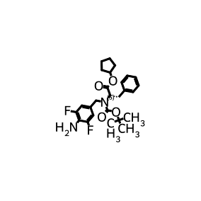 CC(C)(C)OC(=O)N(Cc1cc(F)c(N)c(F)c1)[C@@H](Cc1ccccc1)C(=O)OC1CCCC1